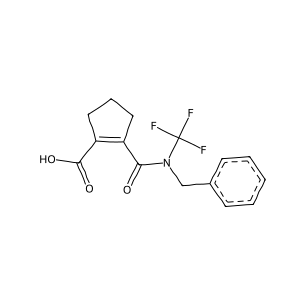 O=C(O)C1=C(C(=O)N(Cc2ccccc2)C(F)(F)F)CCC1